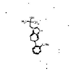 COc1ccccc1C1C=C2NCN(CC(C)(C)O)C2=CC1